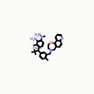 Cc1ccc(C(c2ccc(N(C)N)c(N)c2C)C(C)(C)C(=O)O)cc1CN1CCOc2c(ccc3ncccc23)C1